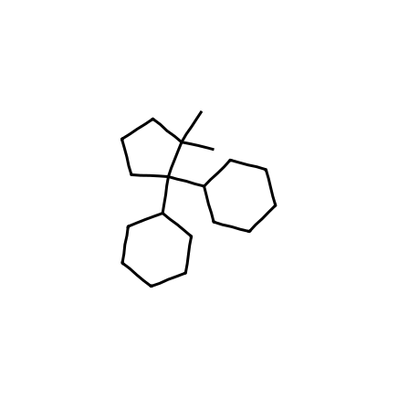 CC1(C)CCCC1(C1CCCCC1)C1CCCCC1